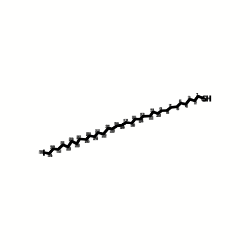 SCCCCCCCCCCCCCCCCCCCCCCCCCCCCCCCCCCI